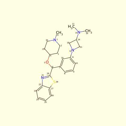 CN1CCC(OC(c2cccc(N3CC(N(C)C)C3)c2)c2nc3ccccc3s2)CC1